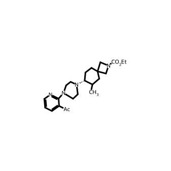 CCOC(=O)N1CC2(CC[C@@H](N3CCN(c4ncccc4C(C)=O)CC3)C(C)C2)C1